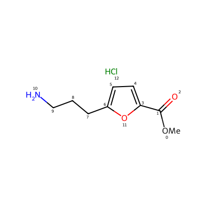 COC(=O)c1ccc(CCCN)o1.Cl